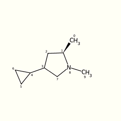 C[C@@H]1CC(C2CC2)CN1C